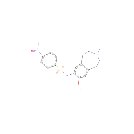 COc1cc2c(cc1NS(=O)(=O)c1ccc([N+](=O)[O-])cc1)CCN(C)CC2